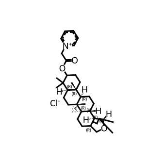 CC1(C)CC[C@]23CC[C@]4(C)[C@H](CC[C@@H]5[C@@]6(C)CCC(OC(=O)C[n+]7ccccc7)C(C)(C)[C@@H]6CC[C@]54C)[C@H]2[C@H]1OC3.[Cl-]